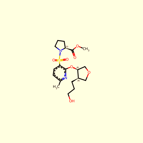 COC(=O)[C@@H]1CCCN1S(=O)(=O)c1ccc(C)nc1O[C@H]1COC[C@H]1CCCO